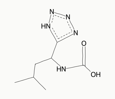 CC(C)CC(NC(=O)O)c1nnn[nH]1